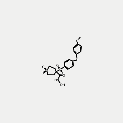 COc1ccc(Oc2ccc(S(=O)(=O)C3(C(=O)NO)CCS(=O)(=O)CC3)cc2)cc1